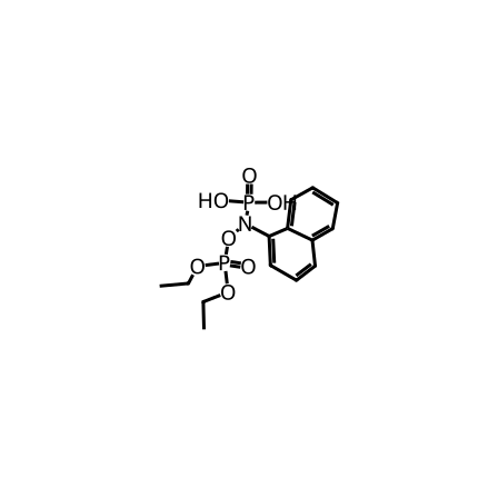 CCOP(=O)(OCC)ON(c1cccc2ccccc12)P(=O)(O)O